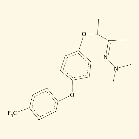 CC(=NN(C)C)C(C)Oc1ccc(Oc2ccc(C(F)(F)F)cc2)cc1